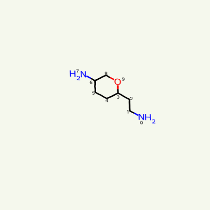 NCCC1CCC(N)CO1